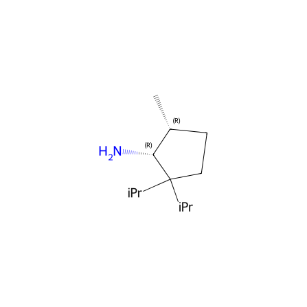 CC(C)C1(C(C)C)CC[C@@H](C)[C@H]1N